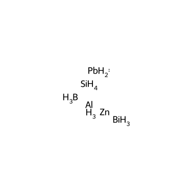 B.[AlH3].[BiH3].[PbH2].[SiH4].[Zn]